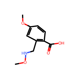 CONCc1cc(OC)ccc1C(=O)O